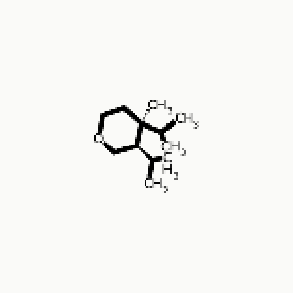 CC(C)[C@H]1COCC[C@@]1(C)C(C)C